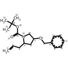 C=CCC1CC(OCc2ccccc2)CN1C(=O)OC(C)(C)C